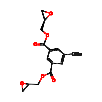 COc1cc(C(=O)OCC2CO2)cc(C(=O)OC[C@H]2CO2)c1